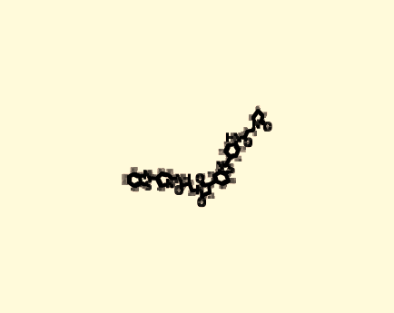 O=C(CCN1CCCC1=O)Nc1ccc(-c2nc3cc(C4CC(=O)N(CCC(=O)Nc5ccc(-c6nc7ccccc7s6)cn5)C4=O)ccc3s2)cc1